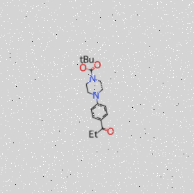 CCC(=O)c1ccc(N2CCN(C(=O)OC(C)(C)C)CC2)cc1